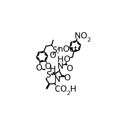 C=C1CS[C@@H]2C(NC(=O)OCc3ccc([N+](=O)[O-])cc3)C(=O)N2C1C(=O)O.CCCCCCCC[S+]([O-])C(C)Cc1ccc2c(c1)OCO2